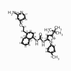 Cc1ccc(-n2nc(C(C)(C)C)cc2NC(=O)Nc2ccc(CCOc3ccnc(N)c3)c3ccccc23)cc1